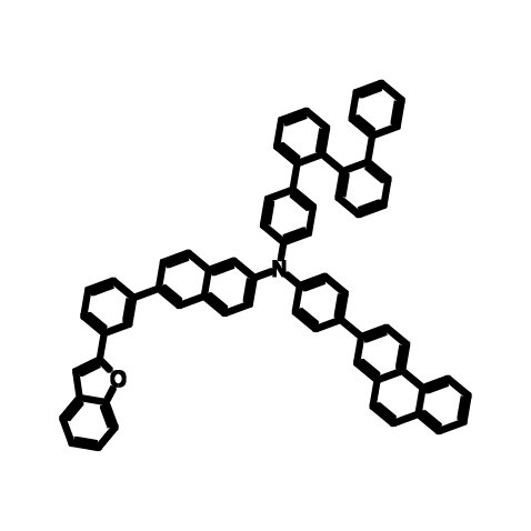 c1ccc(-c2ccccc2-c2ccccc2-c2ccc(N(c3ccc(-c4ccc5c(ccc6ccccc65)c4)cc3)c3ccc4cc(-c5cccc(-c6cc7ccccc7o6)c5)ccc4c3)cc2)cc1